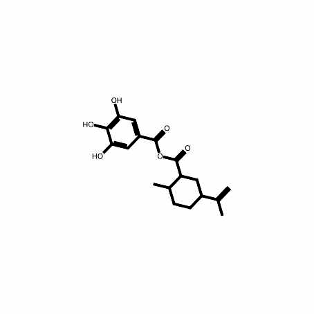 C=C(C)C1CCC(C)C(C(=O)OC(=O)c2cc(O)c(O)c(O)c2)C1